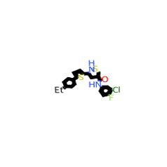 CCC1CCC(c2ccc(C3CC(C(=O)Nc4ccc(F)c(Cl)c4)CSN3)s2)CC1